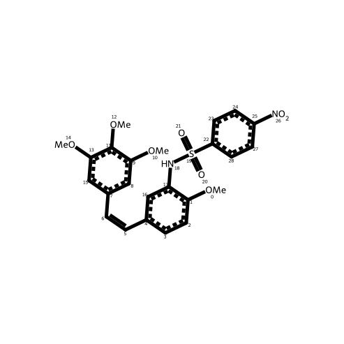 COc1ccc(/C=C\c2cc(OC)c(OC)c(OC)c2)cc1NS(=O)(=O)c1ccc([N+](=O)[O-])cc1